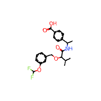 CC(NC(=O)C(OCc1cccc(OC(F)F)c1)C(C)C)c1ccc(C(=O)O)cc1